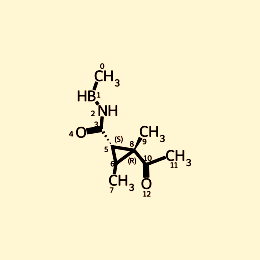 CBNC(=O)[C@H]1C(C)[C@@]1(C)C(C)=O